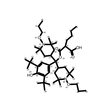 CCCCC(C(=O)O)C(=O)OC(c1cc(C(C)(C)C)c(O)c(C(C)(C)C)c1)(C1CC(C)(C)N(OCCC)C(C)(C)C1)C1CC(C)(C)N(OCCC)C(C)(C)C1